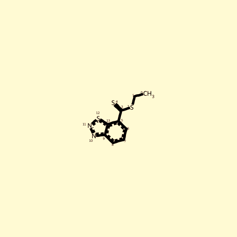 CCSC(=S)c1cccc2nnsc12